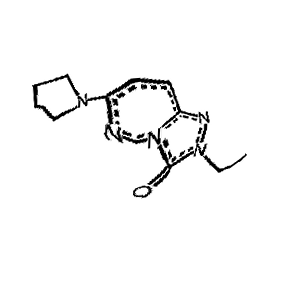 CCn1nc2ccc(N3CCCC3)nn2c1=O